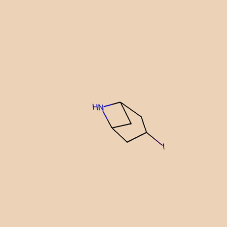 IC1CC2CC(C1)N2